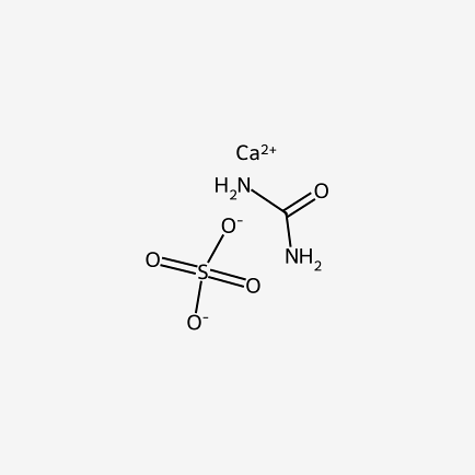 NC(N)=O.O=S(=O)([O-])[O-].[Ca+2]